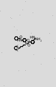 C[C@@H]1CCC[C@H](C)N1CCCCCN1C(=O)C(c2cccc(C(=N)N)c2)Oc2ccc(NC(=O)C3CCCCC3)cc21